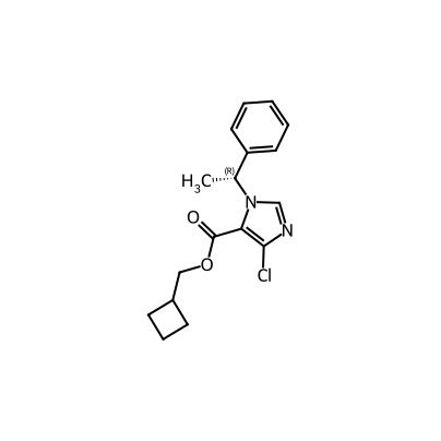 C[C@H](c1ccccc1)n1cnc(Cl)c1C(=O)OCC1CCC1